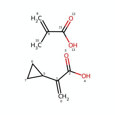 C=C(C(=O)O)C1CC1.C=C(C)C(=O)O